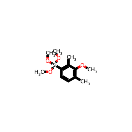 COc1c(C)ccc([Si](OC)(OC)OC)c1C